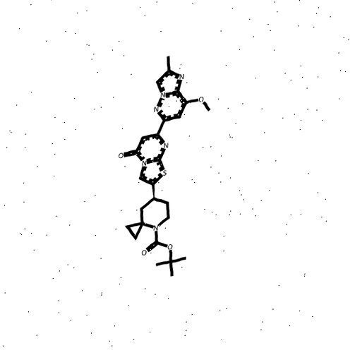 COc1cc(-c2cc(=O)n3cc([C@H]4CCN(C(=O)OC(C)(C)C)C5(CC5)C4)sc3n2)nn2cc(C)nc12